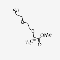 COC(=O)[C@H](C)OCCOCCS